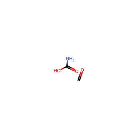 C=O.NC(=O)O